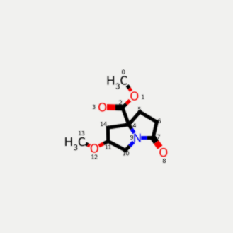 COC(=O)C12CCC(=O)N1CC(OC)C2